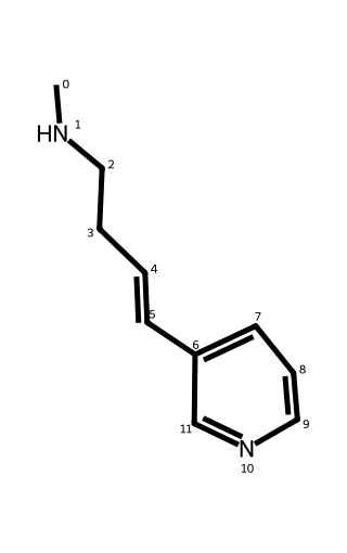 CNCCC=Cc1cccnc1